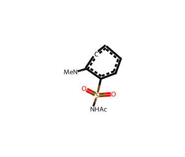 CNc1ccccc1S(=O)(=O)NC(C)=O